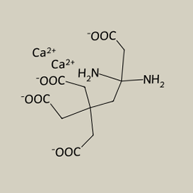 NC(N)(CC(=O)[O-])CC(CC(=O)[O-])(CC(=O)[O-])CC(=O)[O-].[Ca+2].[Ca+2]